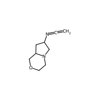 C=C=NC1CC2COCCN2C1